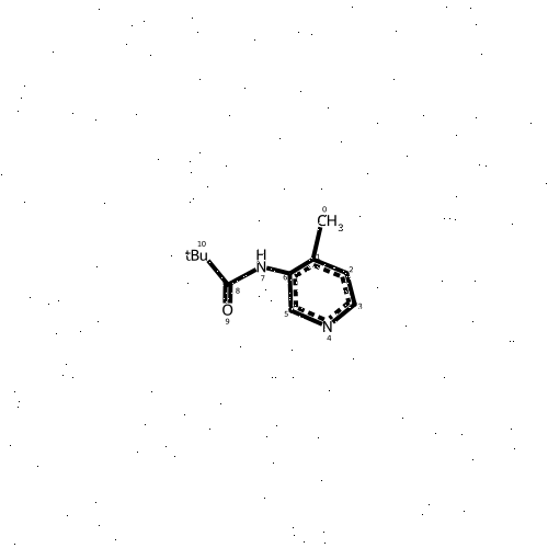 Cc1ccncc1NC(=O)C(C)(C)C